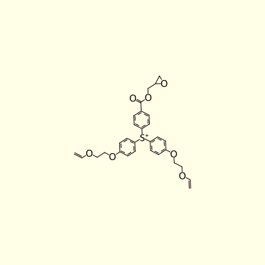 C=COCCOc1ccc([S+](c2ccc(OCCOC=C)cc2)c2ccc(C(=O)OCC3CO3)cc2)cc1